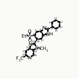 CCS(=O)(=O)c1cc2nc(-c3ccccc3)[nH]c2cc1-c1nc2cc(C(F)(F)F)ncc2n1C